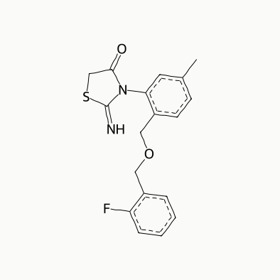 Cc1ccc(COCc2ccccc2F)c(N2C(=N)SCC2=O)c1